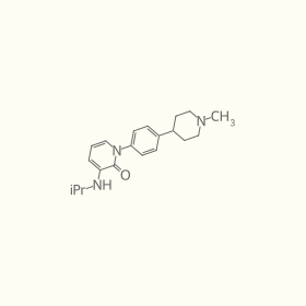 CC(C)Nc1cccn(-c2ccc(C3CCN(C)CC3)cc2)c1=O